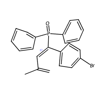 C=C(C)/C=C(\c1ccc(Br)cc1)P(=O)(c1ccccc1)c1ccccc1